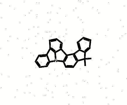 CC1(C)c2ccccc2-c2c1ccc1c2c2cccc3c4ccccc4n1c32